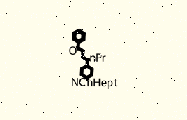 CCCCCCCC1(C#N)CCC(C(CCC)CCC(=O)c2ccccc2)CC1